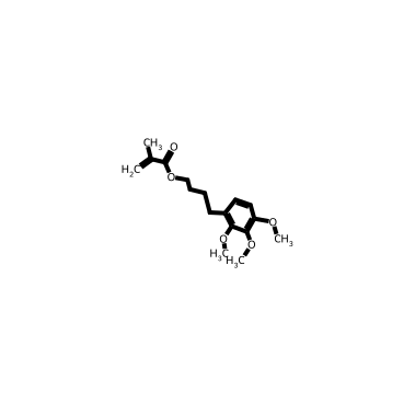 C=C(C)C(=O)OCCCCc1ccc(OC)c(OC)c1OC